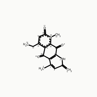 C=C1C=C(C)C2=C(N1)C(=O)c1c(c(CC)cc(=O)n1C)C2=O